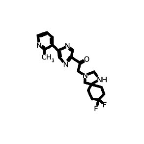 Cc1ncccc1-c1cnc(C(=O)CN2CNC3(CCC(F)(F)CC3)C2)cn1